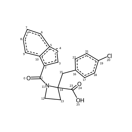 O=C(c1csc2ccccc12)N1CCC1(Cc1ccc(Cl)cc1)C(=O)O